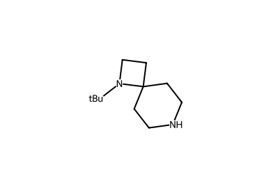 CC(C)(C)N1CCC12CCNCC2